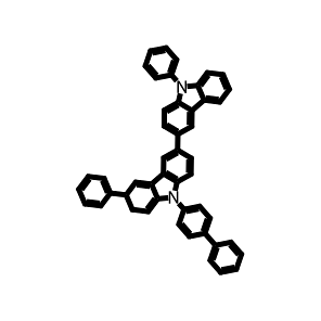 C1=c2c(n(-c3ccc(-c4ccccc4)cc3)c3ccc(-c4ccc5c(c4)c4ccccc4n5-c4ccccc4)cc23)=CCC1c1ccccc1